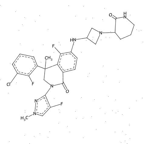 Cn1cc(F)c(N2CC(C)(c3cccc(Cl)c3F)c3c(ccc(NC4CN(C5CCCNC5=O)C4)c3F)C2=O)n1